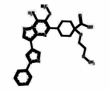 COCCOC1(C(=O)O)CCC(c2nc3c(-c4cnn(-c5ccccc5)c4)cnn3c(N)c2SC)CC1